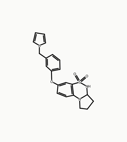 O=S1(=O)NC2CCCN2c2ccc(Oc3cccc(Cn4cccc4)c3)cc21